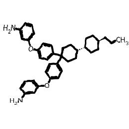 CCC[C@H]1CC[C@H](C2CCC(c3ccc(Oc4cccc(N)c4)cc3)(c3ccc(Oc4cccc(N)c4)cc3)CC2)CC1